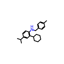 Cc1ccc(CNc2ccc(C(C)C)cc2C2CCCCC2)cc1